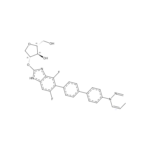 C=NN(/C=C\C)c1ccc(-c2ccc(-c3c(F)cc4[nH]c(O[C@@H]5CO[C@H](CO)[C@H]5O)nc4c3F)cc2)cc1